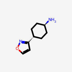 N[C@H]1CC[C@H](c2ccon2)CC1